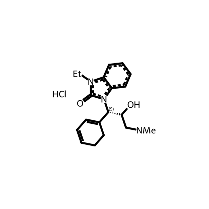 CCn1c(=O)n([C@@H](C2=CC=CCC2)C(O)CNC)c2ccccc21.Cl